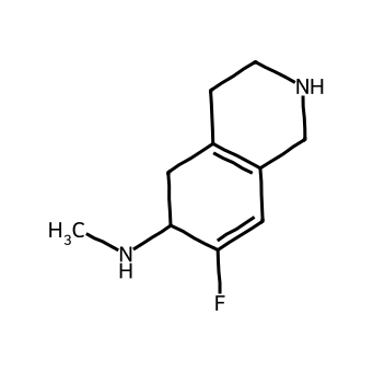 CNC1CC2=C(C=C1F)CNCC2